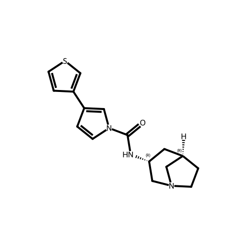 O=C(N[C@@H]1C[C@H]2CCN(C2)C1)n1ccc(-c2ccsc2)c1